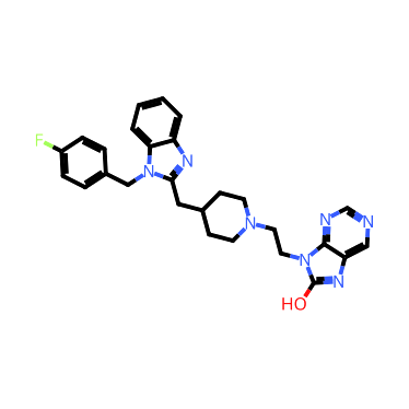 Oc1nc2cncnc2n1CCN1CCC(Cc2nc3ccccc3n2Cc2ccc(F)cc2)CC1